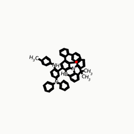 Cc1ccc(Nc2ccc(N(c3ccccc3)c3ccccc3)cc2-c2cc(-c3ccccc3-c3ccccc3)c3c4cccc5c4n4c3c2Bc2cccc(c2-4)C5(C)C)cc1